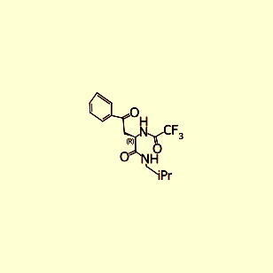 CC(C)CNC(=O)[C@@H](CC(=O)c1ccccc1)NC(=O)C(F)(F)F